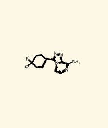 Nc1nccn2c(C3CCC(F)(F)CC3)nnc12